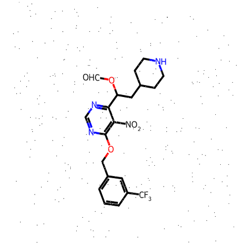 O=COC(CC1CCNCC1)c1ncnc(OCc2cccc(C(F)(F)F)c2)c1[N+](=O)[O-]